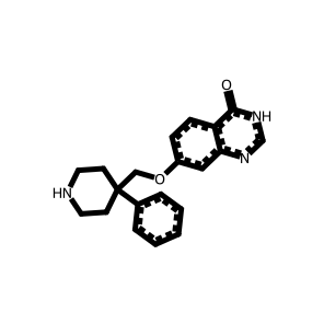 O=c1[nH]cnc2cc(OCC3(c4ccccc4)CCNCC3)ccc12